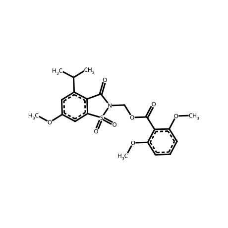 COc1cc(C(C)C)c2c(c1)S(=O)(=O)N(COC(=O)c1c(OC)cccc1OC)C2=O